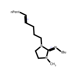 CCCCC/C=C/CCCN1CCN(C)/C1=N\C(C)(C)C